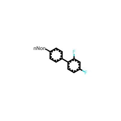 CCCCCCCCCc1ccc(-c2ccc(F)cc2F)cc1